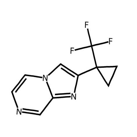 FC(F)(F)C1(c2cn3ccncc3n2)CC1